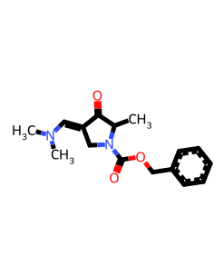 CC1C(=O)C(=CN(C)C)CN1C(=O)OCc1ccccc1